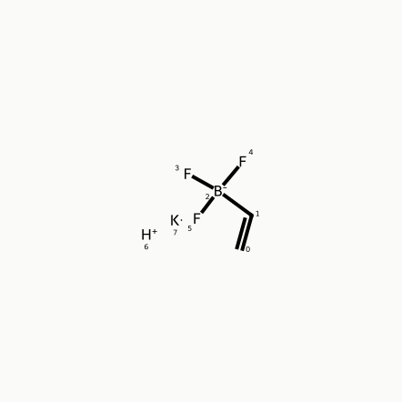 C=C[B-](F)(F)F.[H+].[K]